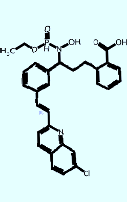 CCO[PH](=O)N(O)C(CCc1ccccc1C(=O)O)c1cccc(/C=C/c2ccc3ccc(Cl)cc3n2)c1